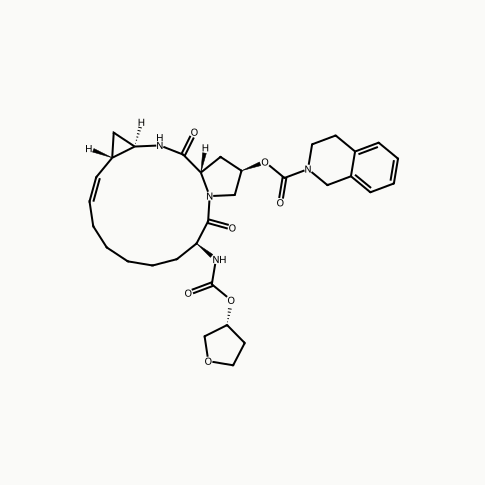 O=C(N[C@H]1CCCCC/C=C\[C@@H]2C[C@H]2NC(=O)[C@@H]2C[C@@H](OC(=O)N3CCc4ccccc4C3)CN2C1=O)O[C@@H]1CCOC1